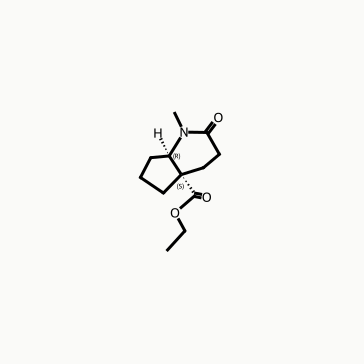 CCOC(=O)[C@]12CCC[C@H]1N(C)C(=O)CC2